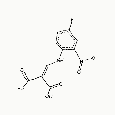 O=C(O)C(=CNc1ccc(F)cc1[N+](=O)[O-])C(=O)O